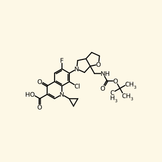 CC(C)(C)OC(=O)NCC12CN(c3c(F)cc4c(=O)c(C(=O)O)cn(C5CC5)c4c3Cl)CC1CCO2